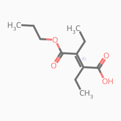 CCCOC(=O)/C(CC)=C(\CC)C(=O)O